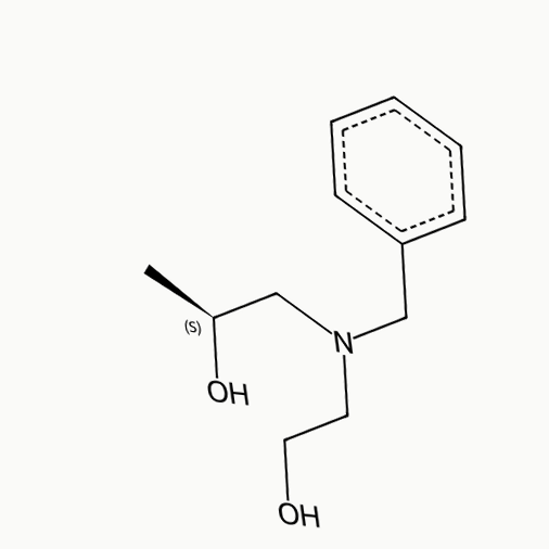 C[C@H](O)CN(CCO)Cc1ccccc1